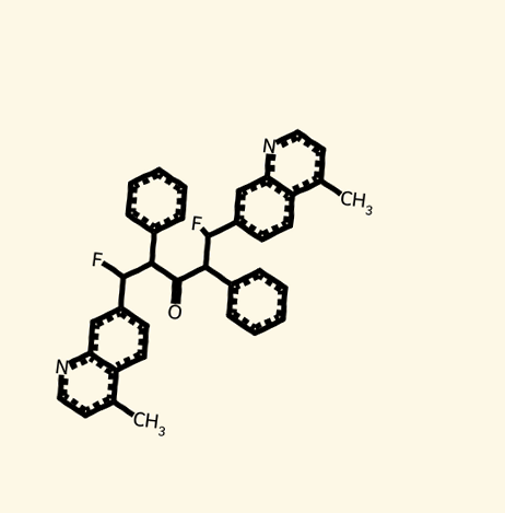 Cc1ccnc2cc(C(F)C(C(=O)C(c3ccccc3)C(F)c3ccc4c(C)ccnc4c3)c3ccccc3)ccc12